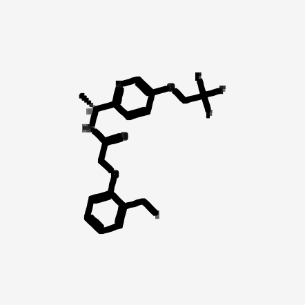 C[C@@H](NC(=O)COc1ccccc1CI)c1ccc(OCC(F)(F)F)cn1